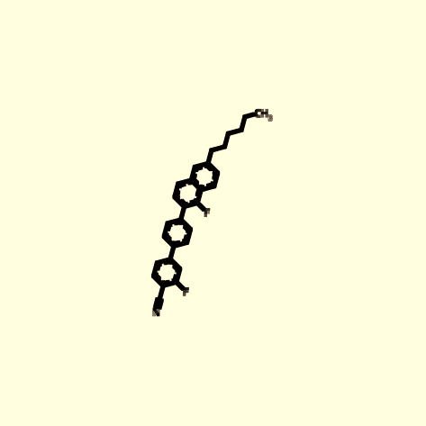 CCCCCCc1ccc2c(F)c(-c3ccc(-c4ccc(C#N)c(F)c4)cc3)ccc2c1